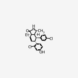 CC[C@@]12C=C[C@@H](c3ccc(O)cc3Cl)[C@H](c3ccc(Cl)cc3)[C@@H]1[C@@H](C)NC2=O